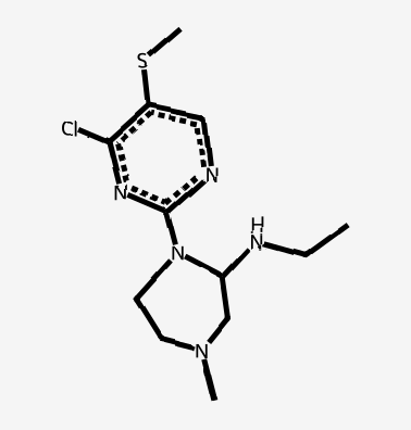 CCNC1CN(C)CCN1c1ncc(SC)c(Cl)n1